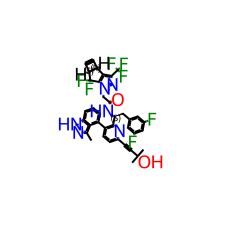 Cc1n[nH]c2cccc(-c3ccc(C#CC(C)(C)O)nc3[C@H](Cc3cc(F)cc(F)c3)NC(=O)Cn3nc(C(F)(F)F)c4c3C(F)(F)[C@@H]3C#C[C@H]43)c12